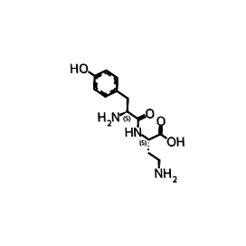 NCC[C@H](NC(=O)[C@@H](N)Cc1ccc(O)cc1)C(=O)O